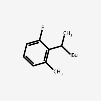 CCC(C)C(C)c1c(C)cccc1F